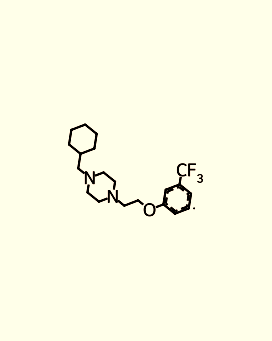 FC(F)(F)c1c[c]cc(OCCN2CCN(CC3CCCCC3)CC2)c1